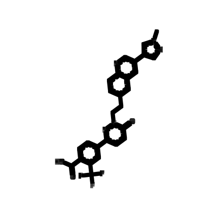 Cn1cc(-c2cnc3ccc(CCn4nc(-c5ccc(C(=O)O)c(C(F)(F)F)c5)ccc4=O)cc3c2)cn1